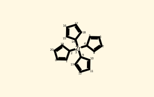 C1=C[CH]([Zr]([CH]2C=CC=C2)([CH]2C=CC=C2)[CH]2C=CC=C2)C=C1